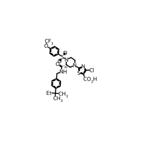 CCC(C)(C)c1ccc(CNC(=O)[C@H]2CN(c3nc(Cl)c(C(=O)O)s3)CCN2S(=O)(=O)c2ccc(OC(F)(F)F)cc2)cc1